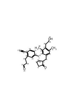 Cc1cc(CC2C(=O)CC[C@@H]2Cc2ccc(C#N)c(CCC=O)c2)cc(C)c1CCO